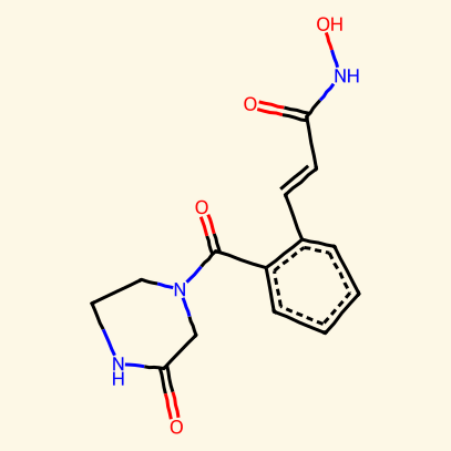 O=C(C=Cc1ccccc1C(=O)N1CCNC(=O)C1)NO